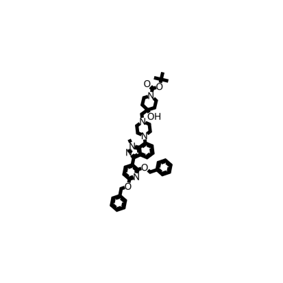 Cn1nc(-c2ccc(OCc3ccccc3)nc2OCc2ccccc2)c2cccc(N3CCN(CC4(O)CCN(C(=O)OC(C)(C)C)CC4)CC3)c21